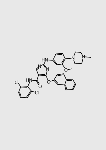 COc1cc(Nc2ncc(C(=O)Nc3c(Cl)cccc3Cl)c(Oc3ccc4ccccc4c3)n2)ccc1N1CCN(C)CC1